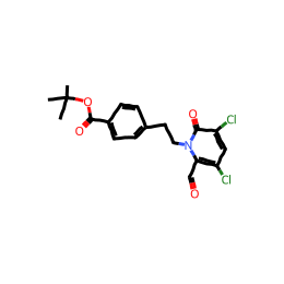 CC(C)(C)OC(=O)c1ccc(CCn2c(C=O)c(Cl)cc(Cl)c2=O)cc1